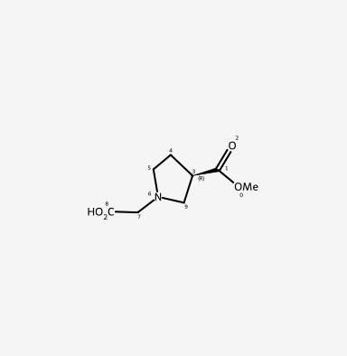 COC(=O)[C@@H]1CCN(CC(=O)O)C1